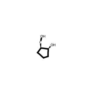 OC[C@@H]1CCC[C@@H]1O